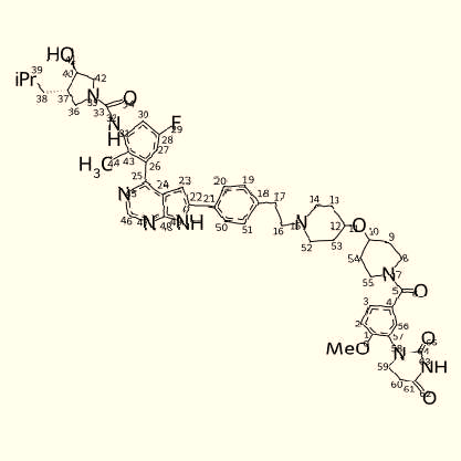 COc1ccc(C(=O)N2CCC(OC3CCN(CCc4ccc(-c5cc6c(-c7cc(F)cc(NC(=O)N8C[C@H](CC(C)C)[C@@H](O)C8)c7C)ncnc6[nH]5)cc4)CC3)CC2)cc1N1CCC(=O)NC1=O